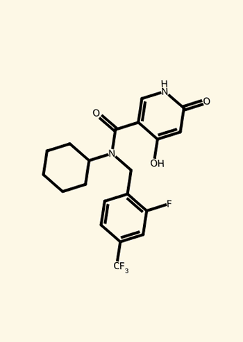 O=C(c1c[nH]c(=O)cc1O)N(Cc1ccc(C(F)(F)F)cc1F)C1CCCCC1